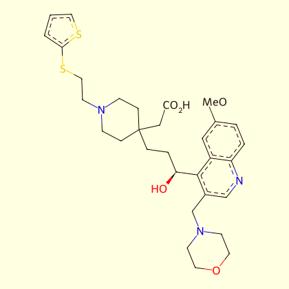 COc1ccc2ncc(CN3CCOCC3)c([C@@H](O)CCC3(CC(=O)O)CCN(CCSc4cccs4)CC3)c2c1